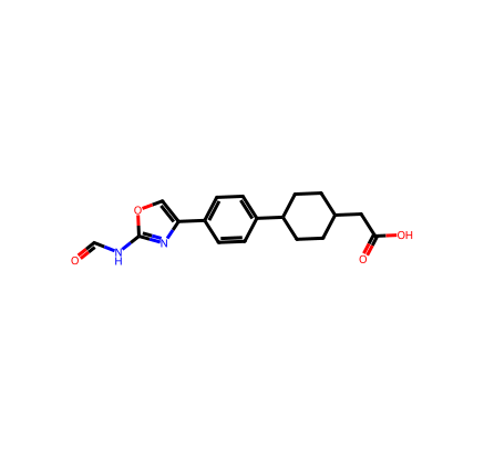 O=CNc1nc(-c2ccc(C3CCC(CC(=O)O)CC3)cc2)co1